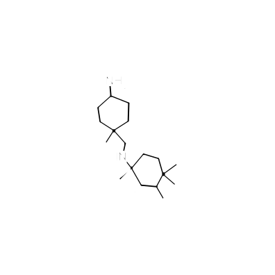 CC1[C@H](C)[C@](C)(NCC2(C)CCC(N)CC2)CCC1(C)C